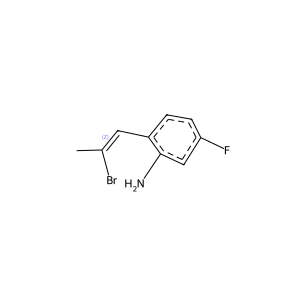 C/C(Br)=C/c1ccc(F)cc1N